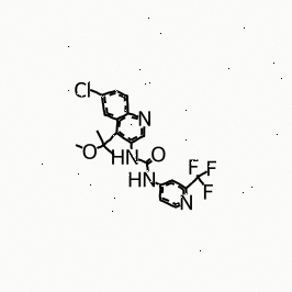 COC(C)(C)c1c(NC(=O)Nc2ccnc(C(F)(F)F)c2)cnc2ccc(Cl)cc12